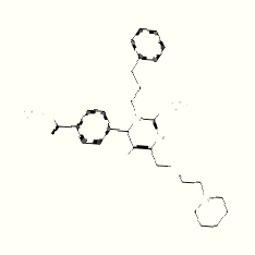 COC(=O)c1ccc(C2C(C(=O)O)=C(COCCN3CCCCC3)N=C(SC)N2CCCc2ccccc2)cc1